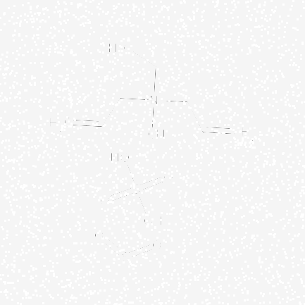 C=CC[N+](C)(CC)CC=C.O=S(=O)(O)O.O=S=O